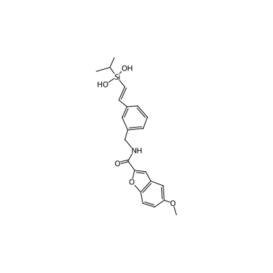 COc1ccc2oc(C(=O)NCc3cccc(C=C[Si](O)(O)C(C)C)c3)cc2c1